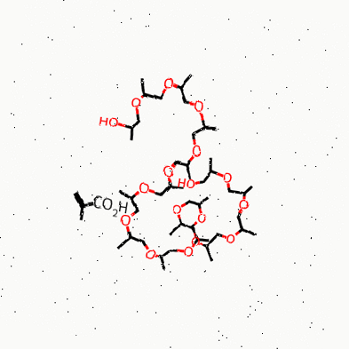 C=C(C)C(=O)O.CC(O)COC(C)COC(C)COC(C)COC(C)COC(C)COC(C)COC(C)COC(C)COC(C)COC(C)COC(C)COC(C)COC(C)COC(C)COC(C)CO